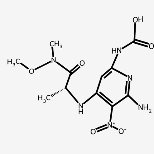 CON(C)C(=O)[C@@H](C)Nc1cc(NC(=O)O)nc(N)c1[N+](=O)[O-]